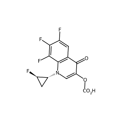 O=C(O)Oc1cn([C@@H]2C[C@H]2F)c2c(F)c(F)c(F)cc2c1=O